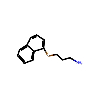 NCCCSc1cccc2ccccc12